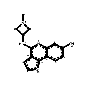 CN1CC(Nc2nc3cc(C#N)ccc3c3sccc23)C1